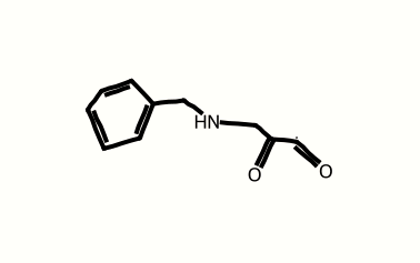 O=[C]C(=O)CNCc1ccccc1